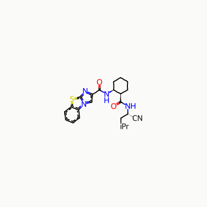 CC(C)C[C@@H](C#N)NC(=O)[C@@H]1CCCC[C@@H]1NC(=O)c1cn2c(n1)sc1ccccc12